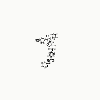 N#Cc1ccc(N2C(=O)C(c3ccccc3)N(CC3CCN(c4ncc(C(=O)NOC5CCCCO5)cn4)CC3)C2=O)cc1